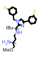 COC[C@@H](N)CCN[C@@H](c1nc(-c2cccc(F)c2)cn1Cc1cccc(F)c1)C(C)(C)C